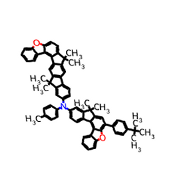 Cc1ccc(N(c2ccc3c(c2)C(C)(C)c2cc4c(cc2-3)C(C)(C)c2ccc3oc5ccccc5c3c2-4)c2ccc3c(c2)C(C)(C)c2cc(-c4ccc(C(C)(C)C)cc4)c4oc5ccccc5c4c2-3)cc1